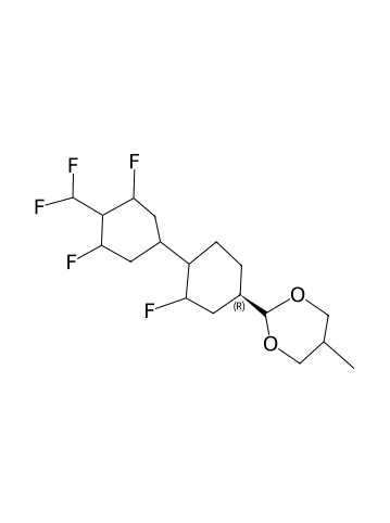 CC1COC([C@@H]2CCC(C3CC(F)C(C(F)F)C(F)C3)C(F)C2)OC1